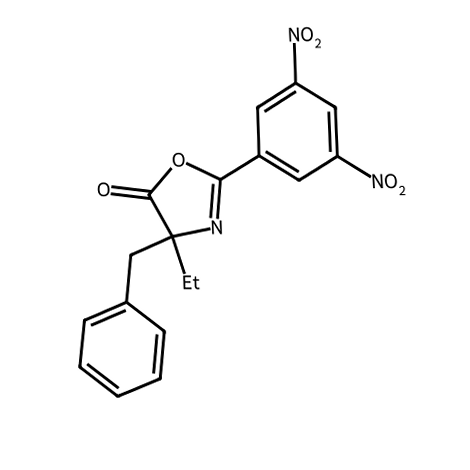 CCC1(Cc2ccccc2)N=C(c2cc([N+](=O)[O-])cc([N+](=O)[O-])c2)OC1=O